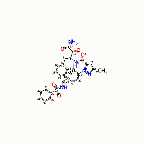 Cc1cc(C(=O)N[C@@H](Cc2ccccc2)C(=O)C(N)=O)n(-c2ccc(CNS(=O)(=O)c3ccccc3)cc2)n1